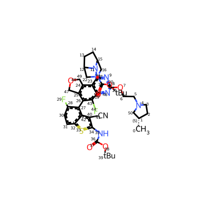 C[C@H]1CCN(CCOc2nc(N3C4CCC3CN(C(=O)OC(C)(C)C)C4)c3c4c(c(-c5c(F)ccc6sc(NC(=O)OC(C)(C)C)c(C#N)c56)c(F)c3n2)COC4)C1